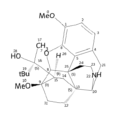 COc1ccc2c3c1OC1[C@@]4(OC)CC[C@@]5(C[C@@H]4[C@](C)(O)C(C)(C)C)C(C2)NCC[C@]315